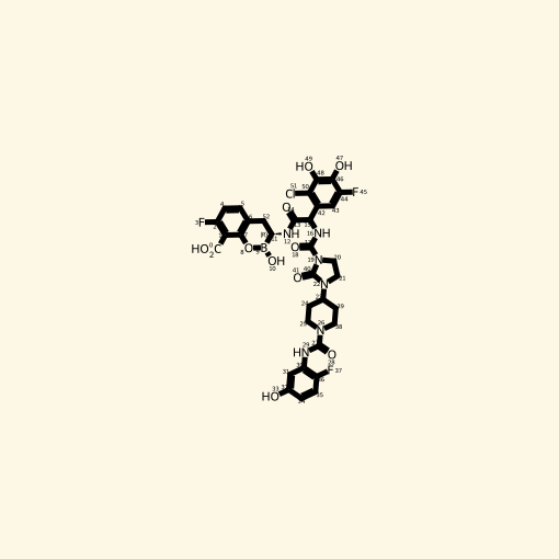 O=C(O)c1c(F)ccc2c1OB(O)[C@@H](NC(=O)C(NC(=O)N1CCN(C3CCN(C(=O)Nc4cc(O)ccc4F)CC3)C1=O)c1cc(F)c(O)c(O)c1Cl)C2